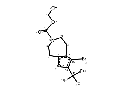 CCOC(=O)N1CCc2sc(C(F)(F)F)c(Br)c2CC1